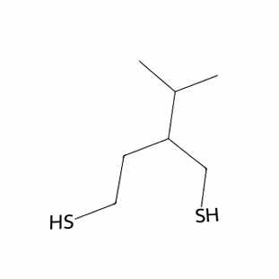 CC(C)C(CS)CCS